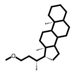 COCC[C@@H](C)[C@H]1CCC2C3CCC4CCCC[C@]4(C)C3CC[C@@]21C